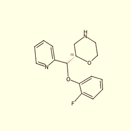 Fc1ccccc1OC(c1ccccn1)[C@@H]1CNCCO1